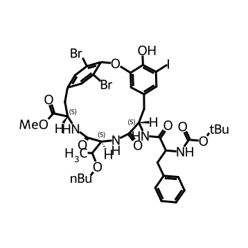 CCCCOC(C)[C@@H]1NC(=O)[C@@H](NC(=O)C(Cc2ccccc2)NC(=O)OC(C)(C)C)Cc2cc(I)c(O)c(c2)Oc2c(Br)cc(cc2Br)C[C@@H](C(=O)OC)NC1=O